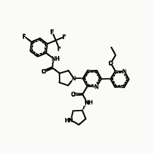 CCOc1ncccc1-c1ccc(N2CCC(C(=O)Nc3ccc(F)cc3C(F)(F)F)C2)c(C(=O)N[C@@H]2CCNC2)n1